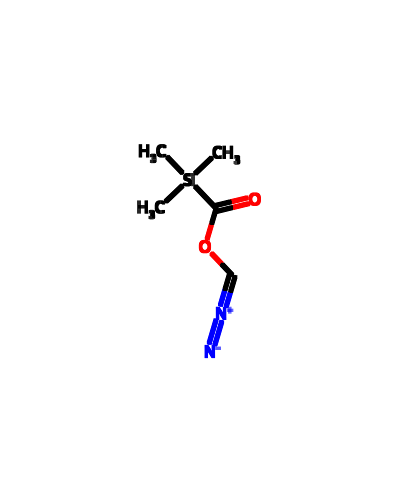 C[Si](C)(C)C(=O)OC=[N+]=[N-]